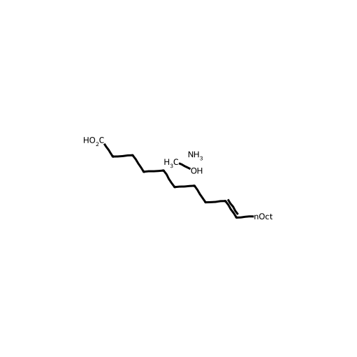 CCCCCCCCC=CCCCCCCCC(=O)O.CO.N